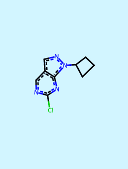 Clc1ncc2cnn(C3CCC3)c2n1